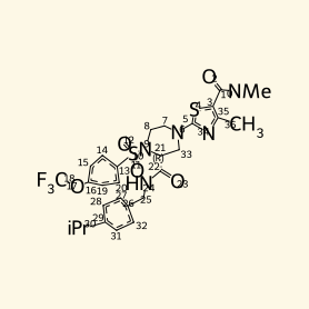 CNC(=O)c1sc(N2CCN(S(=O)(=O)c3ccc(OC(F)(F)F)cc3)[C@@H](C(=O)NCc3ccc(C(C)C)cc3)C2)nc1C